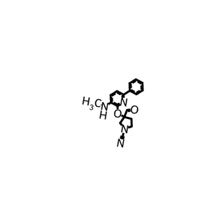 CNc1ccc(-c2ccccc2)nc1OC1(C=O)CCN(C#N)C1